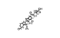 O=Cc1ccc2cc(-c3nc4cc(C(=O)N5CCC[C@@H](NC(=O)O)C5)cc5c4n3CCO5)n(CC3CC3)c2c1